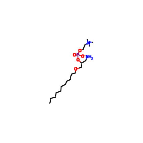 CCCCCCCCCCCOCC(CN)OP(=O)([O-])OCC[N+](C)(C)C